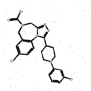 CCC(=O)N1Cc2cc(Cl)ccc2-n2c(nnc2C2CCN(c3cccc(Cl)c3)CC2)C1